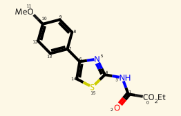 CCOC(=O)C(=O)Nc1nc(-c2ccc(OC)cc2)cs1